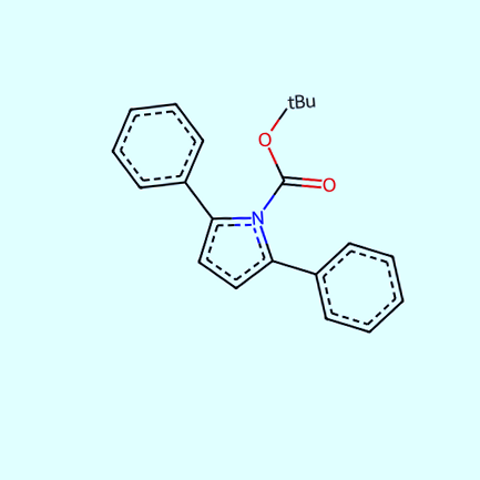 CC(C)(C)OC(=O)n1c(-c2ccccc2)ccc1-c1ccccc1